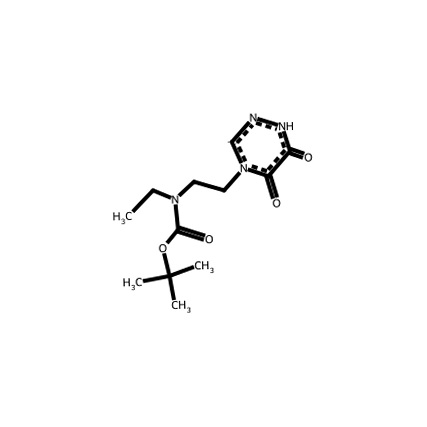 CCN(CCn1[c]n[nH]c(=O)c1=O)C(=O)OC(C)(C)C